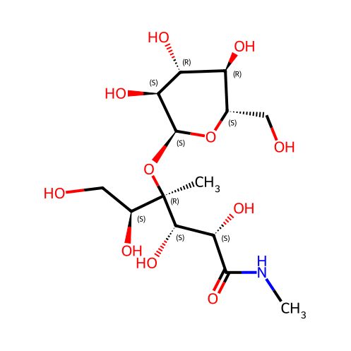 CNC(=O)[C@@H](O)[C@H](O)[C@](C)(O[C@@H]1O[C@@H](CO)[C@H](O)[C@@H](O)[C@@H]1O)[C@@H](O)CO